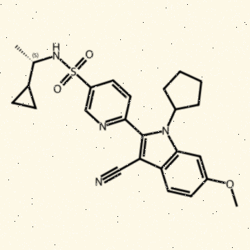 COc1ccc2c(C#N)c(-c3ccc(S(=O)(=O)N[C@@H](C)C4CC4)cn3)n(C3CCCC3)c2c1